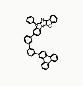 c1ccc(-n2c3cc(-c4cccc(-c5cccc(-c6ccc7c8ccccc8c8ccccc8c7c6)c5)c4)ccc3n3c4oc5ccccc5c4nc23)cc1